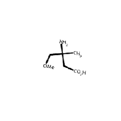 COCC(C)(N)CC(=O)O